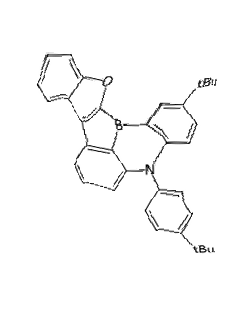 CC(C)(C)c1ccc(N2c3ccc(C(C)(C)C)cc3B3c4oc5ccccc5c4-c4cccc2c43)cc1